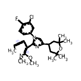 C=N/C(OC)=C(\C=C/C)c1nc(C2CC(C)(C)OC(C)(C)C2)cn1-c1ccc(F)c(Cl)c1